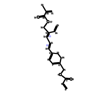 C=CC(=O)OCC1=CC=C(/C=C/C=C(\C=C)COC(=O)C(=C)C)CC1